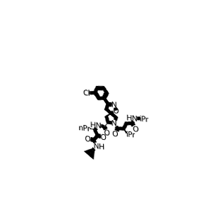 CCC[C@H](NC(=O)[C@@H]1C[C@]2(CC(c3cccc(Cl)c3)=NO2)CN1C(=O)[C@@H](CC(=O)NC(C)C)C(C)C)C(=O)C(=O)NC1CC1